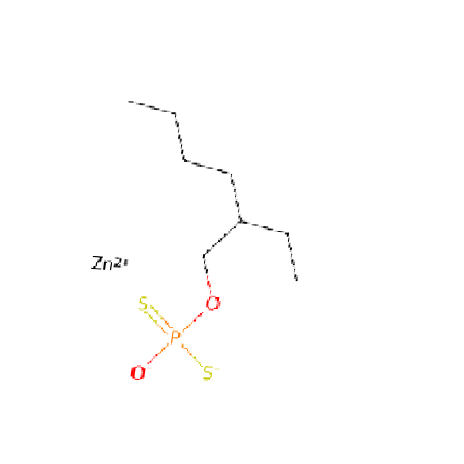 CCCCC(CC)COP([O-])(=S)[S-].[Zn+2]